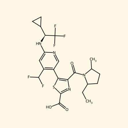 CCC1CCC(C)N1C(=O)c1nc(C(=O)O)sc1-c1cnc(N[C@@H](C2CC2)C(F)(F)F)cc1C(F)F